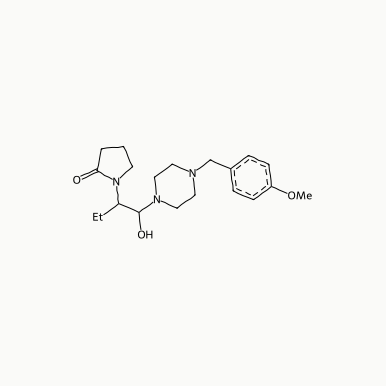 CCC(C(O)N1CCN(Cc2ccc(OC)cc2)CC1)N1CCCC1=O